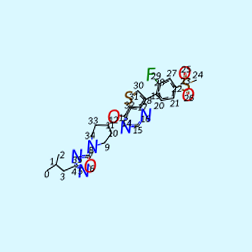 CC(C)Cc1noc(N2CCC(Oc3ncnc4c(-c5ccc(S(C)(=O)=O)cc5F)csc34)CC2)n1